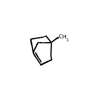 CC12CC=C(CC1)C2